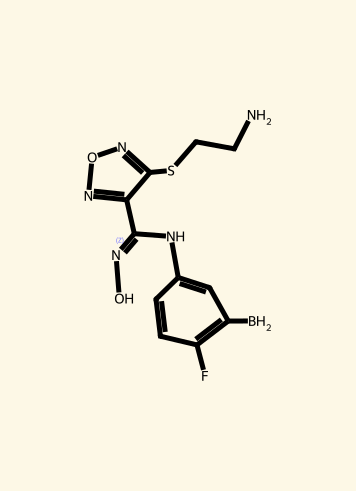 Bc1cc(N/C(=N\O)c2nonc2SCCN)ccc1F